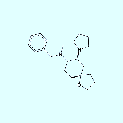 CN(Cc1ccccc1)[C@H]1CC[C@]2(CCCO2)C[C@@H]1N1CCCC1